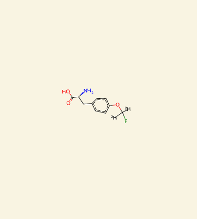 [2H]C([2H])(F)Oc1ccc(C[C@H](N)C(=O)O)cc1